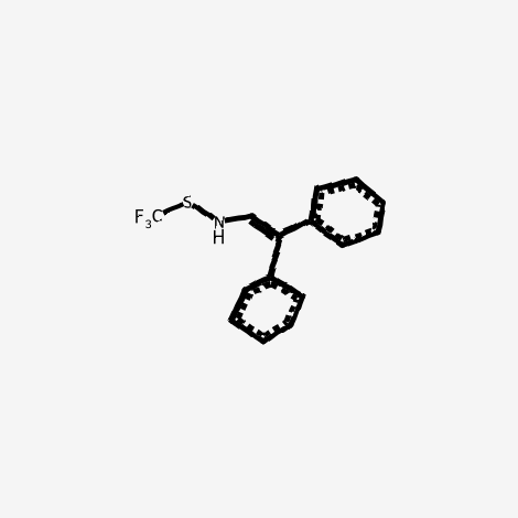 FC(F)(F)SNC=C(c1ccccc1)c1ccccc1